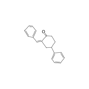 O=C1CCC(c2ccccc2)C/C1=C/c1ccccc1